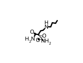 CCCCNCCC(C(N)=O)S(N)(=O)=O